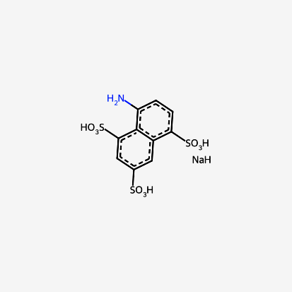 Nc1ccc(S(=O)(=O)O)c2cc(S(=O)(=O)O)cc(S(=O)(=O)O)c12.[NaH]